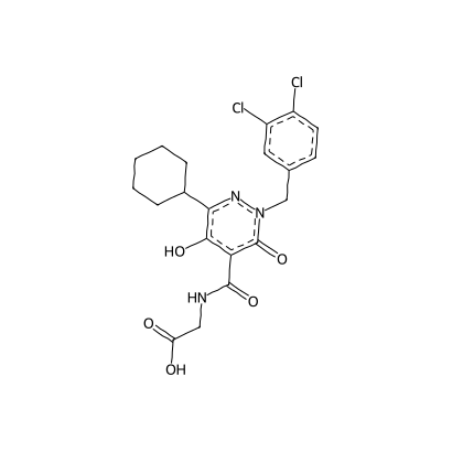 O=C(O)CNC(=O)c1c(O)c(C2CCCCC2)nn(Cc2ccc(Cl)c(Cl)c2)c1=O